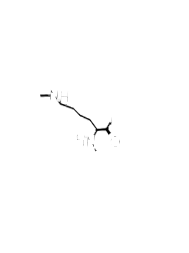 CNCCCCC(NC)C(=O)I